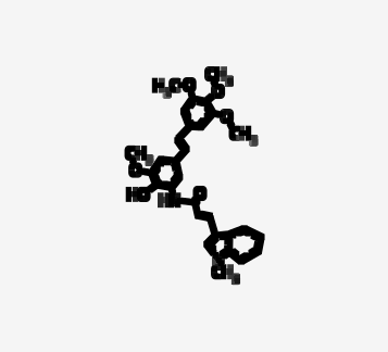 COc1cc(/C=C/c2cc(OC)c(OC)c(OC)c2)cc(NC(=O)/C=C/c2cn(C)c3ccccc23)c1O